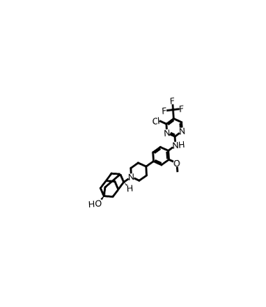 COc1cc(C2CCN([C@H]3C4CC5CC3C[C@@](O)(C5)C4)CC2)ccc1Nc1ncc(C(F)(F)F)c(Cl)n1